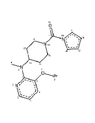 CC(C)Oc1cccnc1N(C)C1CCN(C(=O)n2cccc2)CC1